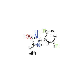 CC(C)/C=C1\N=C(c2cc(F)ccc2F)NC1=O